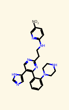 O=[N+]([O-])c1ccc(NC[CH]c2ncc(-c3cnc[nH]3)c(-c3ccccc3N3CCNCC3)n2)nc1